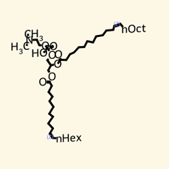 CCCCCC/C=C\CCCCCCCCCC(=O)OCC(COP(=O)(O)OCCN(C)C)OC(=O)CCCCCCCCCCC/C=C\CCCCCCCC